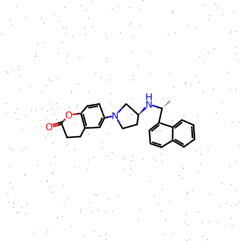 C[C@@H](N[C@H]1CCN(c2ccc3c(c2)CCC(=O)O3)C1)c1cccc2ccccc12